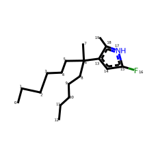 CCCCCCC(C)(CCCCC)c1cc(F)[nH]c1C